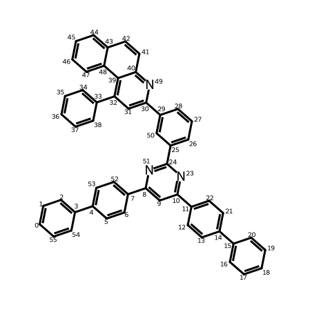 c1ccc(-c2ccc(-c3cc(-c4ccc(-c5ccccc5)cc4)nc(-c4cccc(-c5cc(-c6ccccc6)c6c(ccc7ccccc76)n5)c4)n3)cc2)cc1